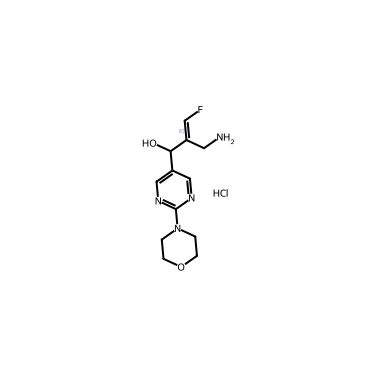 Cl.NC/C(=C\F)C(O)c1cnc(N2CCOCC2)nc1